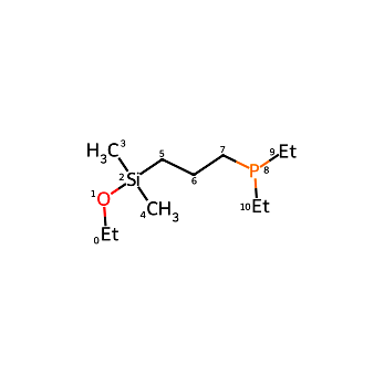 CCO[Si](C)(C)CCCP(CC)CC